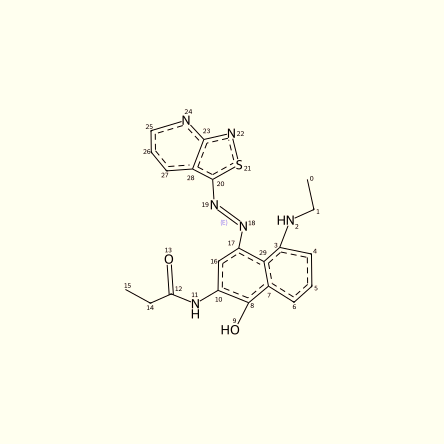 CCNc1cccc2c(O)c(NC(=O)CC)cc(/N=N/c3snc4ncccc34)c12